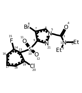 CCN(CC)C(=O)n1cc(Br)c(S(=O)(=O)c2c(F)cccc2Cl)n1